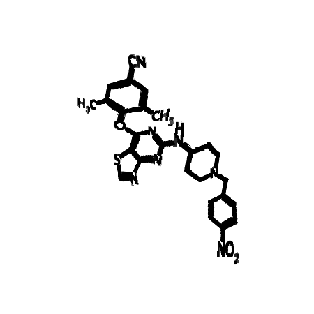 Cc1cc(C#N)cc(C)c1Oc1nc(NC2CCN(Cc3ccc([N+](=O)[O-])cc3)CC2)nc2ncsc12